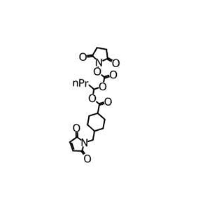 CCCC(OC(=O)ON1C(=O)CCC1=O)OC(=O)C1CCC(CN2C(=O)C=CC2=O)CC1